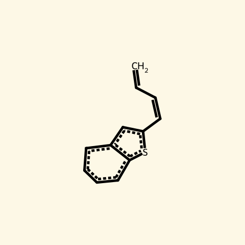 C=C/C=C\c1cc2ccccc2s1